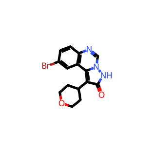 O=c1[nH]n2cnc3ccc(Br)cc3c2c1C1CCOCC1